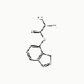 O=C(Oc1cccc2c1CC=C2)C(C(F)(F)F)C(F)(F)F